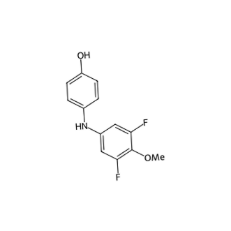 COc1c(F)cc(Nc2ccc(O)cc2)cc1F